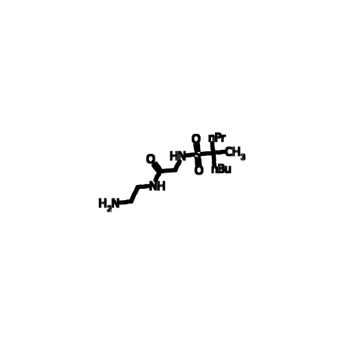 CCCCC(C)(CCC)S(=O)(=O)NCC(=O)NCCN